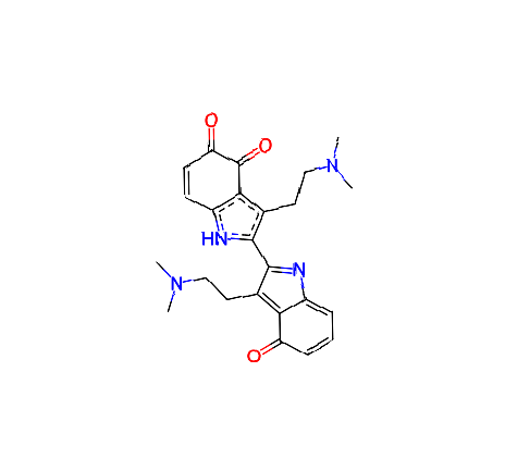 CN(C)CCC1=C2C(=O)C=CC=C2N=C1c1[nH]c2c(c1CCN(C)C)C(=O)C(=O)C=C2